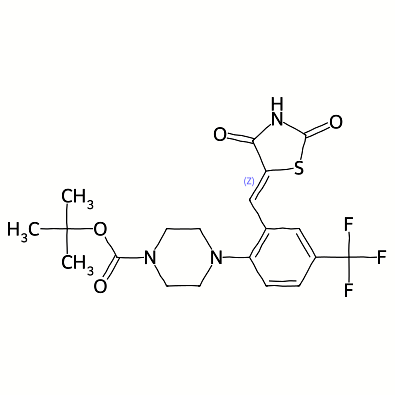 CC(C)(C)OC(=O)N1CCN(c2ccc(C(F)(F)F)cc2/C=C2\SC(=O)NC2=O)CC1